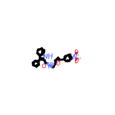 O=C(N/N=C\c1ccc(-c2ccc([N+](=O)[O-])cc2)o1)c1[nH]c2ccccc2c1-c1ccccc1